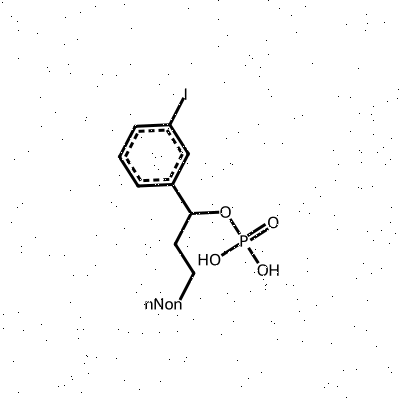 CCCCCCCCCCCC(OP(=O)(O)O)c1cccc(I)c1